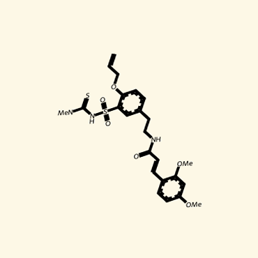 C=CCOc1ccc(CCNC(=O)/C=C/c2ccc(OC)cc2OC)cc1S(=O)(=O)NC(=S)NC